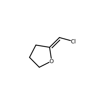 ClC=C1CCCO1